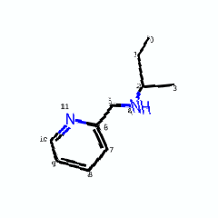 CCC(C)NCc1ccccn1